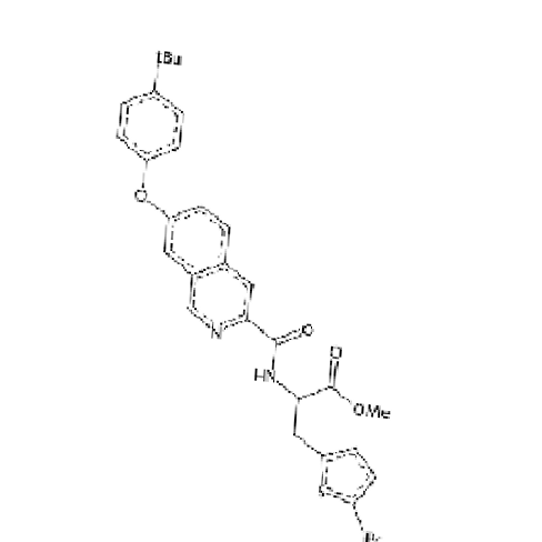 COC(=O)C(Cc1ccc(C(C)C)s1)NC(=O)c1cc2ccc(Oc3ccc(C(C)(C)C)cc3)cc2cn1